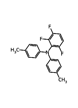 Cc1ccc(N(c2ccc(C)cc2)c2c(F)ccc(F)c2F)cc1